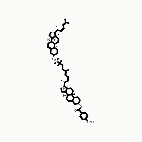 COc1ccc(C(=O)O[C@H]2CC[C@@]3(C)C(=CC[C@H]4[C@@H]5CC[C@H]([C@H](C)/C=C\C=C(/C)CCC(C)(C)[Si](C)(C)O[C@H]6CC[C@@]7(C)C(=CC[C@@H]8C7CC[C@]7(C)[C@@H]([C@H](C)/C=C\C=C(C)C)CC[C@@H]87)C6)[C@@]5(C)CC[C@@H]43)C2)cc1